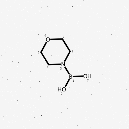 OB(O)N1CCOCC1